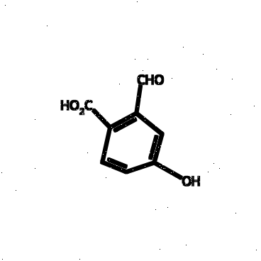 O=Cc1cc(O)ccc1C(=O)O